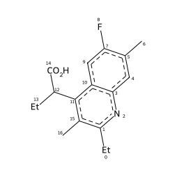 CCc1nc2cc(C)c(F)cc2c(C(CC)C(=O)O)c1C